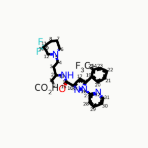 O=C(O)CC(CCN1CCCC(F)(F)C1)NC(=O)c1cc(-c2ccccc2C(F)(F)F)n(-c2ccccn2)n1